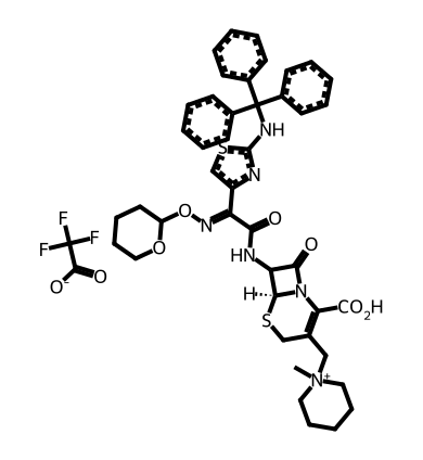 C[N+]1(CC2=C(C(=O)O)N3C(=O)C(NC(=O)C(=NOC4CCCCO4)c4csc(NC(c5ccccc5)(c5ccccc5)c5ccccc5)n4)[C@@H]3SC2)CCCCC1.O=C([O-])C(F)(F)F